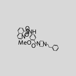 COc1cc(NS(=O)(=O)c2cccc3cccnc23)ccc1C(=O)N1CCN(CCc2ccccc2)CC1